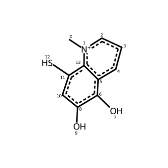 C[n+]1cccc2c(O)c(O)cc(S)c21